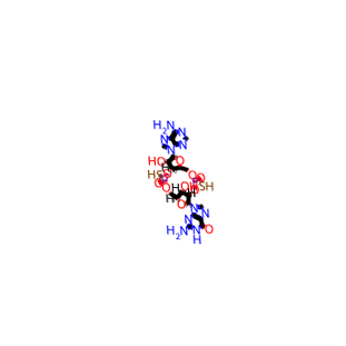 Nc1nc2c(ncn2[C@@H]2O[C@@H]3COP(=O)(S)O[C@@H]4C(COP(=O)(S)O[C@@H]2[C@@H]3O)O[C@@H](n2cnc3c(N)ncnc32)[C@@H]4O)c(=O)[nH]1